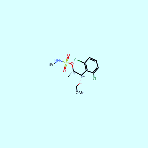 COCO[C@@H](c1c(Cl)cccc1Cl)[C@H](C)OS(=O)(=O)NC(C)C